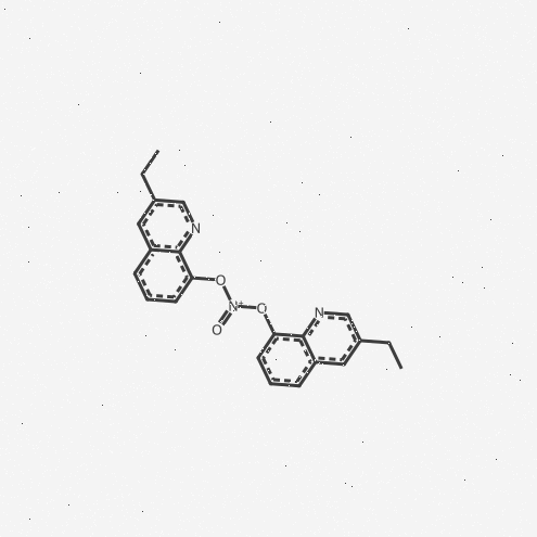 CCc1cnc2c(O[N+](=O)Oc3cccc4cc(CC)cnc34)cccc2c1